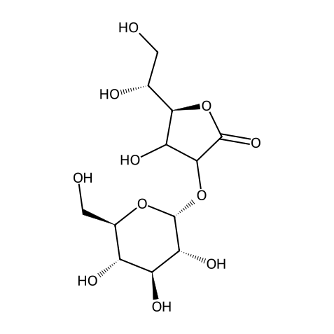 O=C1O[C@H]([C@H](O)CO)C(O)C1O[C@H]1O[C@H](CO)[C@@H](O)[C@H](O)[C@H]1O